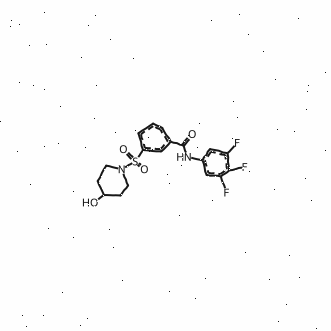 O=C(Nc1cc(F)c(F)c(F)c1)c1cccc(S(=O)(=O)N2CCC(O)CC2)c1